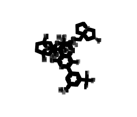 Cc1nc(-c2cc(N)cc(C(F)(F)F)c2)c(F)c2nc(OC[C@@]34CCCN3C[C@H](F)C4)nc(N3C[C@H]4CC[C@@H](C3)N4C(=O)OC(C)(C)C)c12